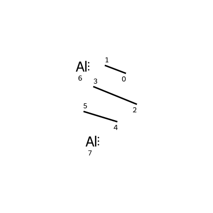 CC.CC.CC.[Al].[Al]